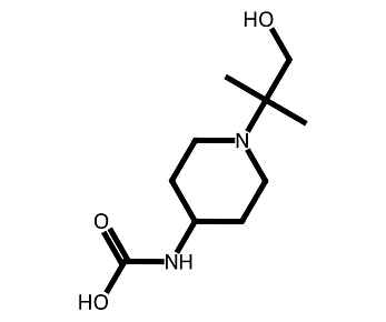 CC(C)(CO)N1CCC(NC(=O)O)CC1